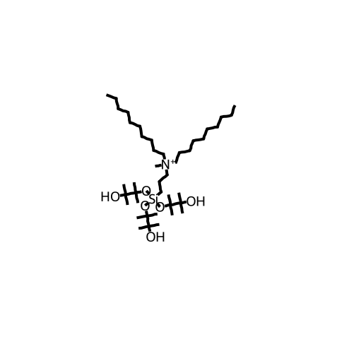 CCCCCCCCCC[N+](C)(CCCCCCCCCC)CCC[Si](OC(C)(C)C(C)(C)O)(OC(C)(C)C(C)(C)O)OC(C)(C)C(C)(C)O